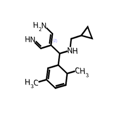 CC1=CC(C(NCC2CC2)/C(C=N)=C/N)C(C)C=C1